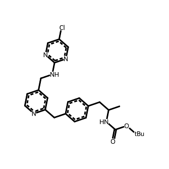 CC(Cc1ccc(Cc2cc(CNc3ncc(Cl)cn3)ccn2)cc1)NC(=O)OC(C)(C)C